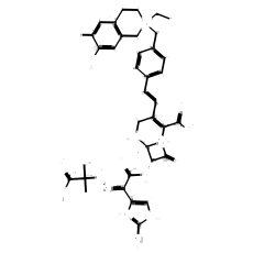 CC[N+]1(Cc2ccc(/C=C/C3=C(C(=O)O)N4C(=O)[C@@H](NC(=O)/C(=N\OC(C)(C)C(=O)O)c5csc(N)n5)[C@H]4SC3)cc2)CCc2cc(O)c(O)cc2C1